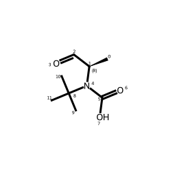 C[C@H](C=O)N(C(=O)O)C(C)(C)C